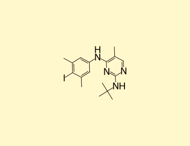 Cc1cnc(NC(C)(C)C)nc1Nc1cc(C)c(I)c(C)c1